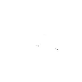 C=CC(=C)SC[C@@H](C)C(C)Br